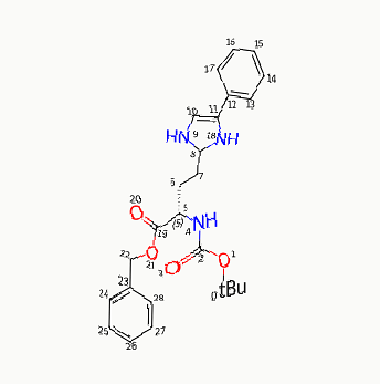 CC(C)(C)OC(=O)N[C@@H](CCC1NC=C(c2ccccc2)N1)C(=O)OCc1ccccc1